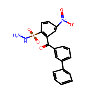 NNS(=O)(=O)c1ccc([N+](=O)[O-])cc1C(=O)c1cccc(-c2ccccc2)c1